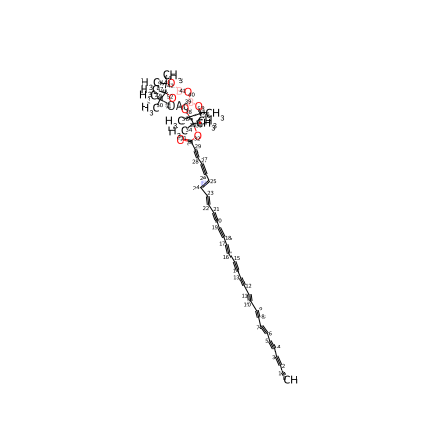 C#CC#CC#CC#CC#CC#CC#CC#CC#CC#CC#CC#C/C=C/C#CC#CC(=O)OC(C)(C)C1(C)OB(OB2OC(C)(C)C(C)(C(C)(C)OC(C)=O)O2)OC1(C)C